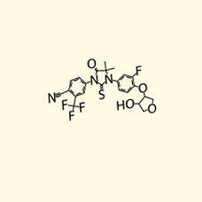 CC1(C)C(=O)N(c2ccc(C#N)c(C(F)(F)F)c2)C(=S)N1c1ccc(OC2COCC2O)c(F)c1